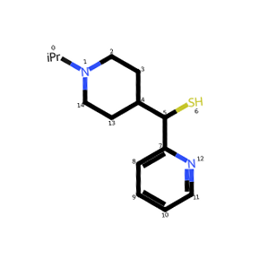 CC(C)N1CCC(C(S)c2ccccn2)CC1